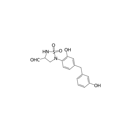 O=CC1CN(c2ccc(Cc3cccc(O)c3)cc2O)S(=O)(=O)N1